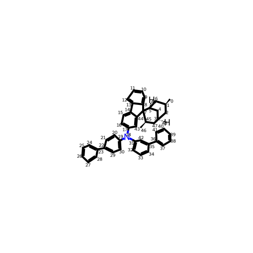 C[C@H]1C[C@@H]2C[C@H](C1)C1(c3ccccc3-c3ccc(N(c4ccc(-c5ccccc5)cc4)c4cccc(-c5ccccc5)c4)cc31)[C@H](C)C2